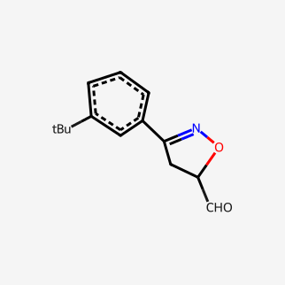 CC(C)(C)c1cccc(C2=NOC(C=O)C2)c1